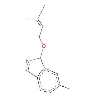 CC(C)=CCOC1N=Cc2ccc(C)cc21